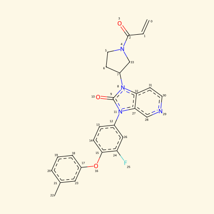 C=CC(=O)N1CCC(n2c(=O)n(-c3ccc(Oc4cccc(C)c4)c(F)c3)c3cnccc32)C1